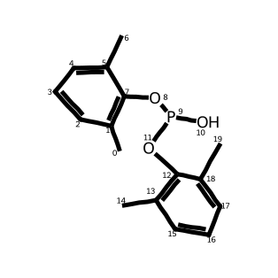 Cc1cccc(C)c1OP(O)Oc1c(C)cccc1C